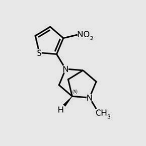 CN1CC2C[C@H]1CN2c1sccc1[N+](=O)[O-]